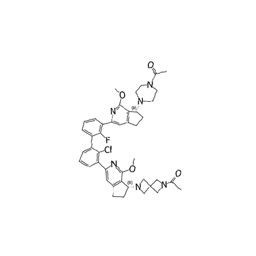 COc1nc(-c2cccc(-c3cccc(-c4cc5c(c(OC)n4)[C@H](N4CC6(CN(C(C)=O)C6)C4)CC5)c3Cl)c2F)cc2c1[C@H](N1CCN(C(C)=O)CC1)CC2